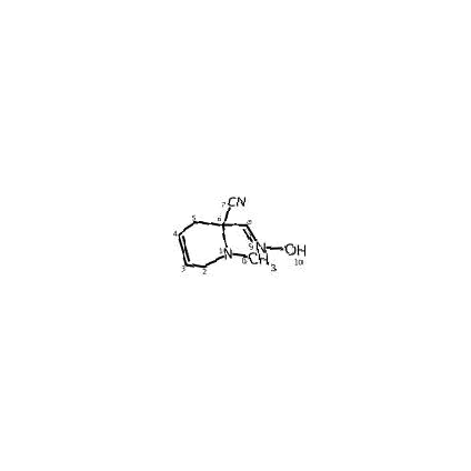 CN1CC=CCC1(C#N)C=NO